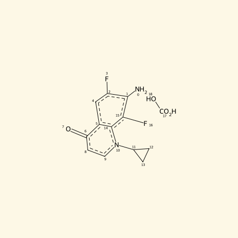 Nc1c(F)cc2c(=O)ccn(C3CC3)c2c1F.O=C(O)O